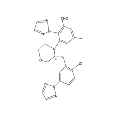 Cc1cc(C=O)c(-n2nccn2)c(N2CCOC[C@H]2Cc2cc(-n3nccn3)ccc2Cl)c1